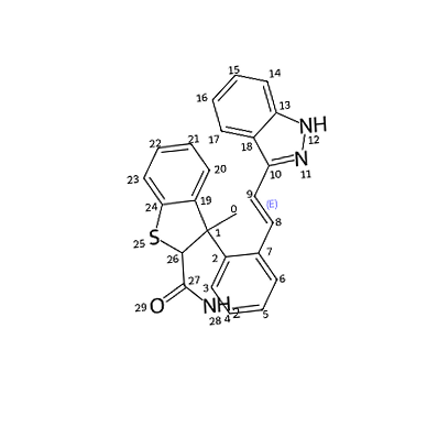 CC1(c2ccccc2/C=C/c2n[nH]c3ccccc23)c2ccccc2SC1C(N)=O